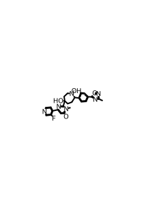 Cc1noc(-c2ccc(C3CCC(O)(c4nc(-c5ccncc5F)cc(=O)n4C)CCN3O)cc2)n1